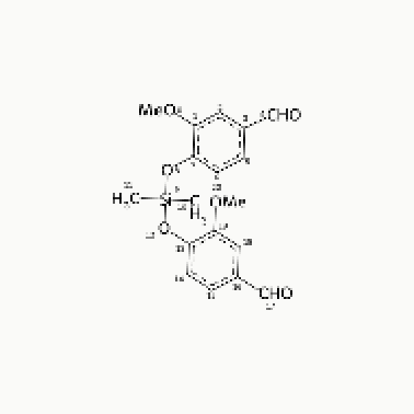 COc1cc(C=O)ccc1O[Si](C)(C)Oc1ccc(C=O)cc1OC